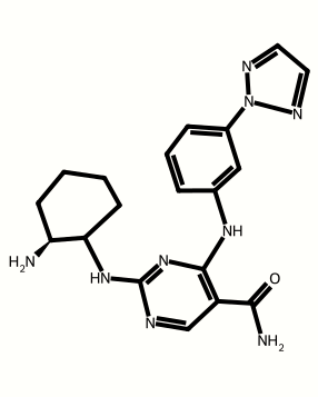 NC(=O)c1cnc(NC2CCCC[C@@H]2N)nc1Nc1cccc(-n2nccn2)c1